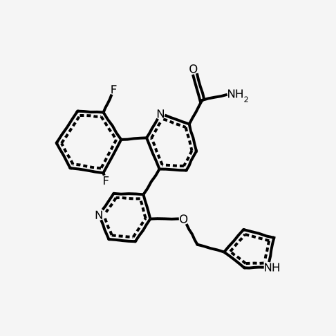 NC(=O)c1ccc(-c2cnccc2OCc2cc[nH]c2)c(-c2c(F)cccc2F)n1